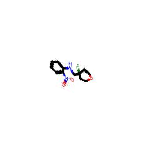 O=[N+]([O-])c1ccccc1NCC1(F)CCOCC1